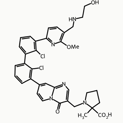 COc1nc(-c2cccc(-c3cccc(-c4ccn5c(=O)c(CN6CCCC6(C)C(=O)O)cnc5c4)c3Cl)c2Cl)ccc1CNCCO